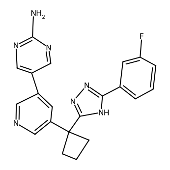 Nc1ncc(-c2cncc(C3(c4nnc(-c5cccc(F)c5)[nH]4)CCC3)c2)cn1